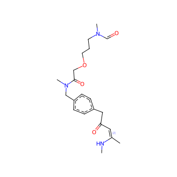 CN/C(C)=C\C(=O)Cc1ccc(CN(C)C(=O)COCCCN(C)C=O)cc1